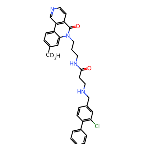 O=C(CCNCc1ccc(-c2ccccc2)c(Cl)c1)NCCCn1c(=O)c2ccncc2c2ccc(C(=O)O)cc21